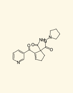 NC(=O)C1(C(=O)ON2CCCC2)CCC=C1C(=O)c1cccnc1